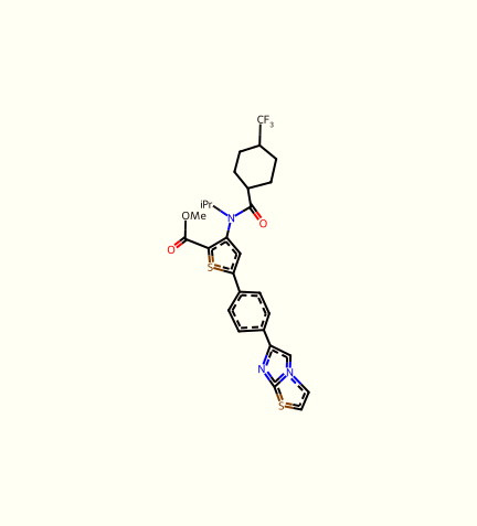 COC(=O)c1sc(-c2ccc(-c3cn4ccsc4n3)cc2)cc1N(C(=O)C1CCC(C(F)(F)F)CC1)C(C)C